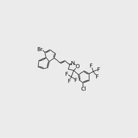 FC(F)(F)c1cc(Cl)cc(C2(C(F)(F)F)CC(/C=C/c3ccc(Br)c4ccccc34)=NO2)c1